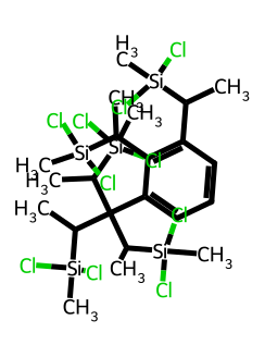 CC(c1cccc(C(C(C)[Si](C)(Cl)Cl)(C(C)[Si](C)(Cl)Cl)C(C)[Si](C)(Cl)Cl)c1C(C)[Si](C)(Cl)Cl)[Si](C)(Cl)Cl